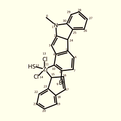 CN1C2=Cc3c(ccc(Br)[c]3[Zr]([SH])([Cl])([Cl])[CH]3C=Cc4ccccc43)C2c2ccccc21